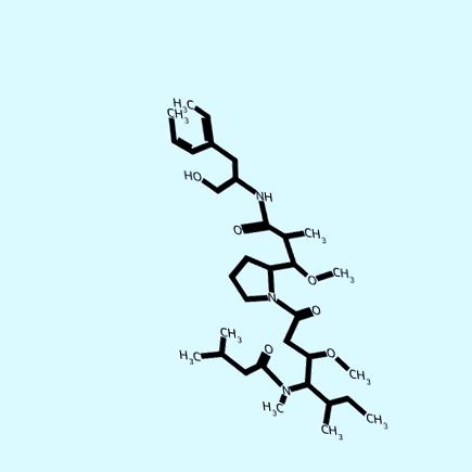 C/C=C\C(=C/C)CC(CO)NC(=O)C(C)C(OC)C1CCCN1C(=O)CC(OC)C(C(C)CC)N(C)C(=O)CC(C)C